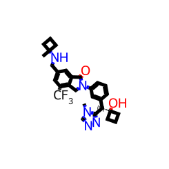 Cn1cnnc1[C@H](c1cccc(N2Cc3c(cc(CNC4(C)CCC4)cc3C(F)(F)F)C2=O)c1)C1(O)CCC1